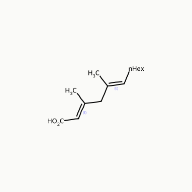 CCCCCC/C=C(\C)C/C(C)=C/C(=O)O